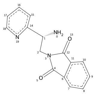 N[C@H](CN1C(=O)c2ccccc2C1=O)c1ccccn1